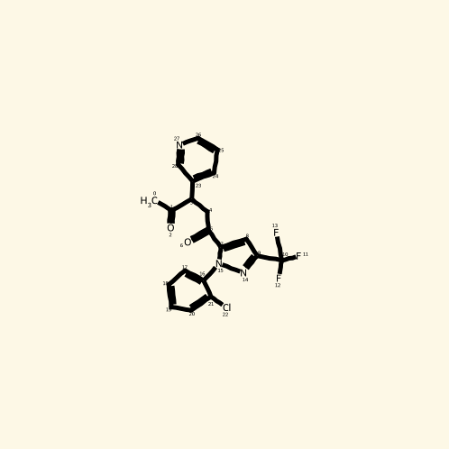 CC(=O)C(CC(=O)c1cc(C(F)(F)F)nn1-c1ccccc1Cl)c1cccnc1